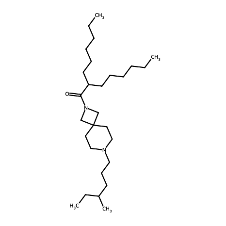 CCCCCCC(CCCCCC)C(=O)N1CC2(CCN(CCCC(C)CC)CC2)C1